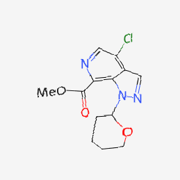 COC(=O)c1ncc(Cl)c2cnn(C3CCCCO3)c12